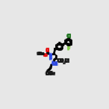 CCOC(=O)[C@H](CNCCCOC)C[C@@H](Cc1ccc(-c2cc(Cl)ccc2F)cc1)NC(=O)OC(C)(C)C